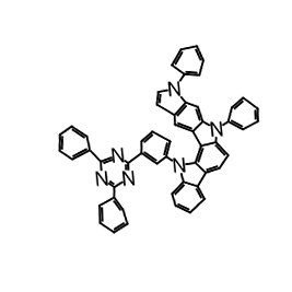 c1ccc(-c2nc(-c3ccccc3)nc(-c3cccc(-n4c5ccccc5c5ccc6c(c7cc8ccn(-c9ccccc9)c8cc7n6-c6ccccc6)c54)c3)n2)cc1